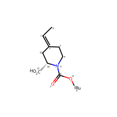 CC=C1CCN(C(=O)OC(C)(C)C)[C@H](C(=O)O)C1